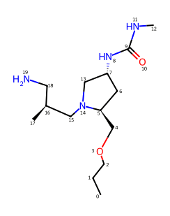 CCCOC[C@@H]1C[C@@H](NC(=O)NC)CN1C[C@@H](C)CN